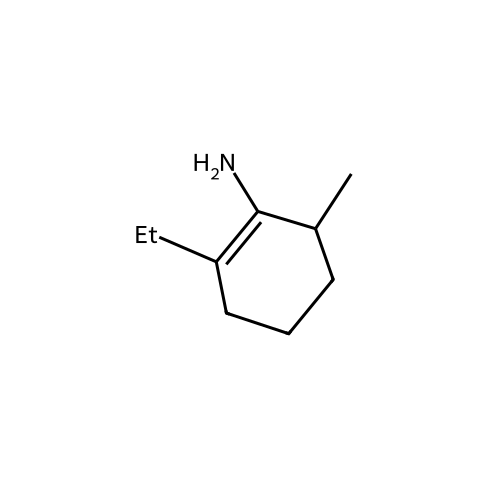 CCC1=C(N)C(C)CCC1